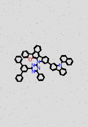 c1ccc(-c2cc(-c3ccccc3)cc(-c3nc(-c4ccccc4)nc(-n4c5cc(-c6ccc7c8ccccc8n(-c8cccc9ccccc89)c7c6)ccc5c5c6ccccc6c6c7ccccc7oc6c54)n3)c2)cc1